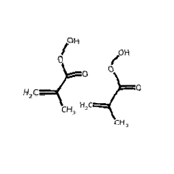 C=C(C)C(=O)OO.C=C(C)C(=O)OO